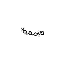 O=C(Nc1cccnn1)N1C=CC(=Cc2cccc(Oc3ccc(C(F)(F)F)cn3)c2)CC1